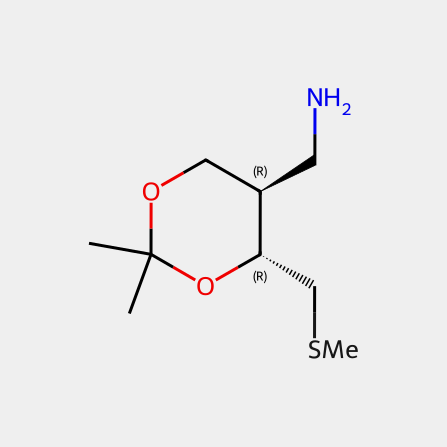 CSC[C@@H]1OC(C)(C)OC[C@H]1CN